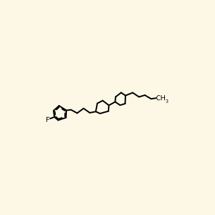 CCCCCC1CCC(C2CCC(CCCCc3ccc(F)cc3)CC2)CC1